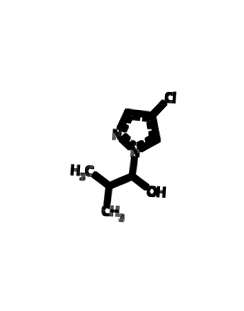 CC(C)C(O)n1cc(Cl)cn1